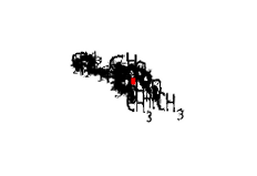 CNC(=O)Nc1ccc2c(c1)C(=O)C(=Cc1c(C)n(CCCN3CCOCC3)c3ccc(OC)cc13)O2